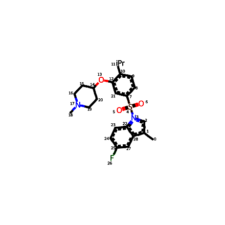 Cc1cn(S(=O)(=O)c2ccc(C(C)C)c(OC3CCN(C)CC3)c2)c2ccc(F)cc12